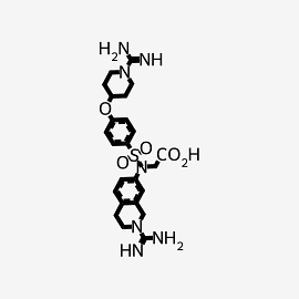 N=C(N)N1CCC(Oc2ccc(S(=O)(=O)N(CC(=O)O)c3ccc4c(c3)CN(C(=N)N)CC4)cc2)CC1